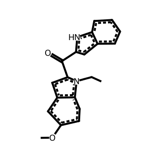 CCn1c(C(=O)c2cc3ccccc3[nH]2)cc2cc(OC)ccc21